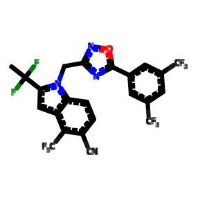 CC(F)(F)c1cc2c(C(F)(F)F)c(C#N)ccc2n1Cc1noc(-c2cc(C(F)(F)F)cc(C(F)(F)F)c2)n1